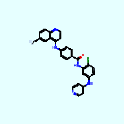 Cc1ccc2nccc(Nc3ccc(C(=O)Nc4cc(Nc5ccncc5)ccc4F)cc3)c2c1